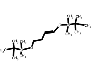 CC(C)(C)[Si](C)(C)OC=CCCO[Si](C)(C)C(C)(C)C